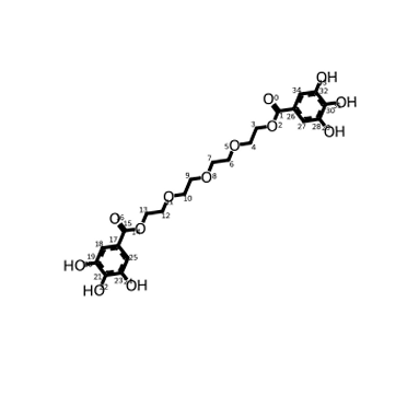 O=C(OCCOCCOCCOCCOC(=O)c1cc(O)c(O)c(O)c1)c1cc(O)c(O)c(O)c1